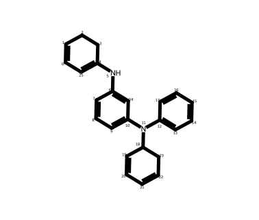 C1=CCCC(Nc2cccc(N(c3ccccc3)C3C=CC=CC3)c2)=C1